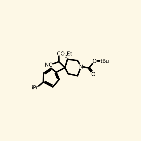 CCOC(=O)C(C#N)C1(c2ccc(C(C)C)cc2)CCN(C(=O)OC(C)(C)C)CC1